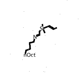 CC=C[Si](C)(C)CC=NCCCCCCCCCCCC